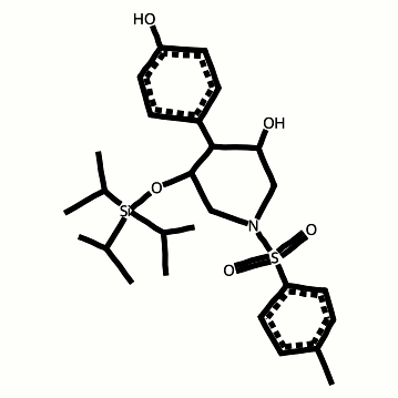 Cc1ccc(S(=O)(=O)N2CC(O)C(c3ccc(O)cc3)C(O[Si](C(C)C)(C(C)C)C(C)C)C2)cc1